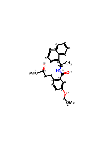 COCOc1ccc(CCC(=O)OC)c(C(=O)N[C@H](C)c2cccc3ccccc23)c1